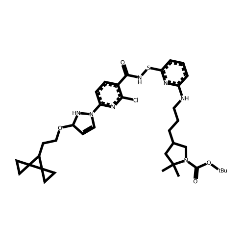 CC(C)(C)OC(=O)N1CC(CCCNc2cccc(SNC(=O)c3ccc(N4C=CC(OCCC5C6(CC6)C56CC6)N4)nc3Cl)n2)CC1(C)C